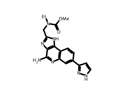 CCN(Cc1nc2c(N)nc3cc(-c4cc[nH]n4)ccc3c2[nH]1)C(=O)OC